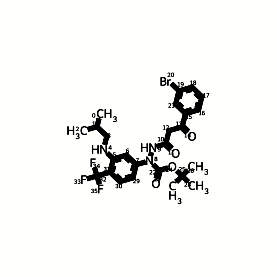 CC(C)CNc1cc(N(NC(=O)CC(=O)c2cccc(Br)c2)C(=O)OC(C)(C)C)ccc1C(F)(F)F